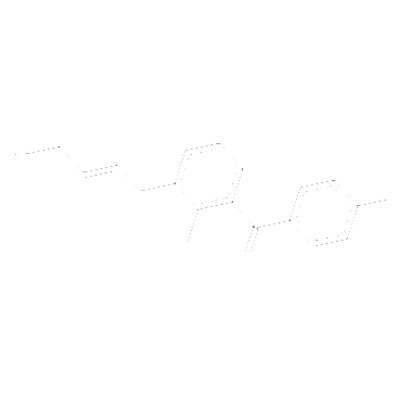 Cc1c(CC=CCCl)cccc1C(=O)c1ccc(F)cc1